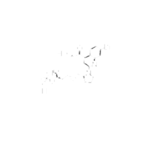 COC(=O)c1cc(N2CCC[C@H]2COCCC(=O)OC(C)(C)C)nc2cc(Br)ccc12